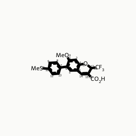 COc1cc2c(cc1-c1ccc(SC)cc1)C=C(C(=O)O)C(C(F)(F)F)O2